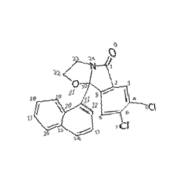 O=C1c2cc(Cl)c(Cl)cc2C2(c3cccc4ccccc34)OCCN12